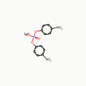 O=[N+]([O-])c1ccc(OP(=O)(O)Oc2ccc([N+](=O)[O-])cc2)cc1.[Ca+2]